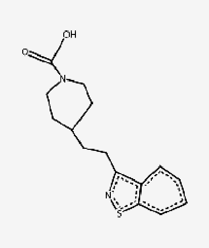 O=C(O)N1CCC(CCc2nsc3ccccc23)CC1